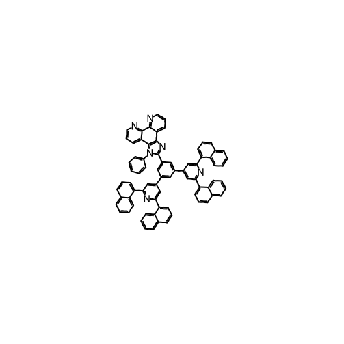 c1ccc(-n2c(-c3cc(-c4cc(-c5cccc6ccccc56)nc(-c5cccc6ccccc56)c4)cc(-c4cc(-c5cccc6ccccc56)nc(-c5cccc6ccccc56)c4)c3)nc3c4cccnc4c4ncccc4c32)cc1